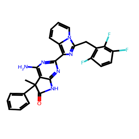 CC1(c2ccccc2)C(=O)Nc2nc(-c3nc(Cc4c(F)ccc(F)c4F)n4ccccc34)nc(N)c21